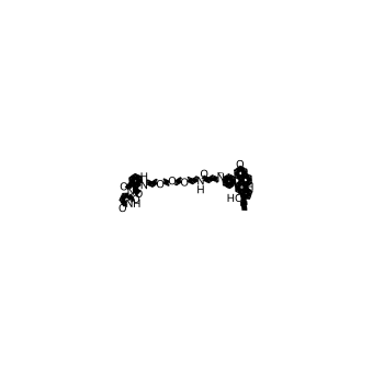 CC#C[C@]1(O)CC[C@H]2[C@@H]3CCC4=CC(=O)CCC4=C3[C@@H](c3ccc(N(C)CCCC(=O)NCCCOCCOCCOCCCNc4cccc5c4C(=O)N(C4CCC(=O)NC4=O)C5=O)cc3)C[C@@]21C